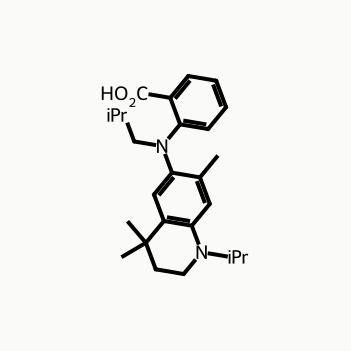 Cc1cc2c(cc1N(CC(C)C)c1ccccc1C(=O)O)C(C)(C)CCN2C(C)C